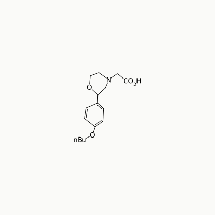 CCCCOc1ccc(C2CN(CC(=O)O)CCO2)cc1